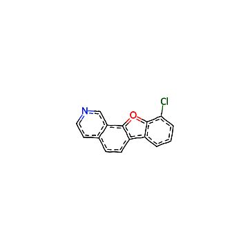 Clc1cccc2c1oc1c3cnccc3ccc21